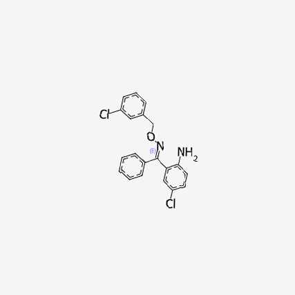 Nc1ccc(Cl)cc1/C(=N/OCc1cccc(Cl)c1)c1ccccc1